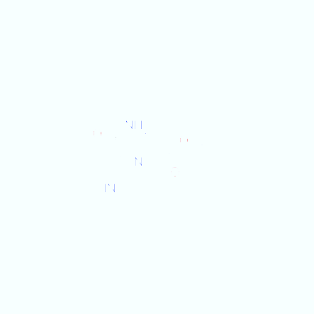 CC(C)(C)OC(=O)CN1CCNCC1C(N)=O